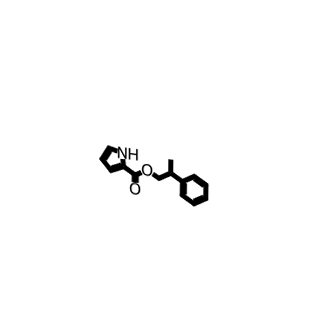 CC(COC(=O)c1ccc[nH]1)c1ccccc1